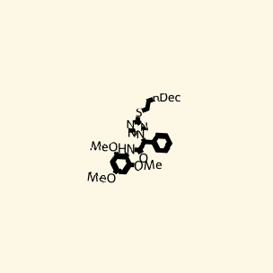 CCCCCCCCCCCCSc1nnn(C(C(=O)Nc2c(OC)cc(OC)cc2OC)c2ccccc2)n1